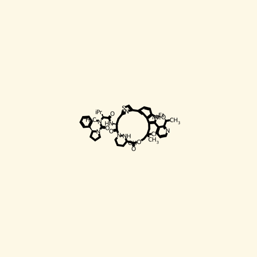 CCn1c(-c2cccnc2[C@H](C)OC)c2c3cc(ccc31)-c1csc(n1)C[C@H](NC(=O)[C@H](C(C)C)N(C)C(=O)N1CCC[C@H]1c1ccccc1)C(=O)N1CCC[C@@](O)(N1)C(=O)OCC(C)(C)C2